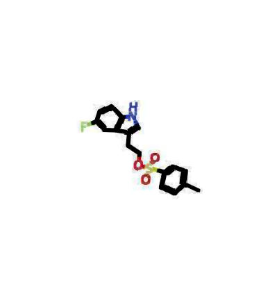 Cc1ccc(S(=O)(=O)OCCc2c[nH]c3ccc(F)cc23)cc1